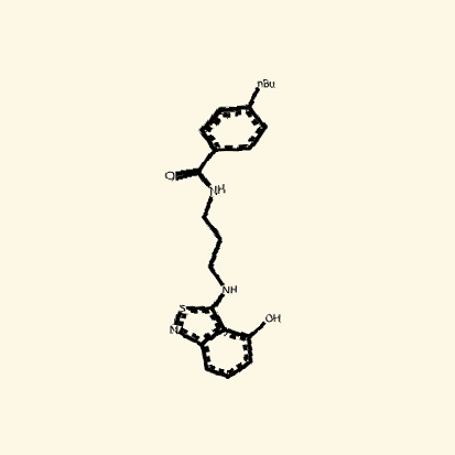 CCCCc1ccc(C(=O)NCCCNc2snc3cccc(O)c23)cc1